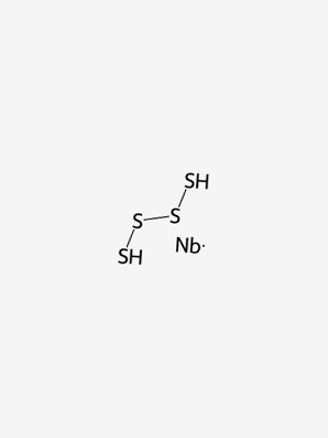 SSSS.[Nb]